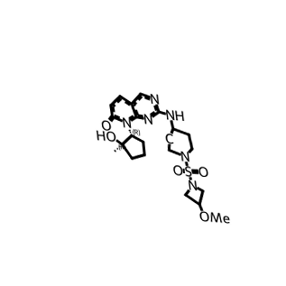 COC1CN(S(=O)(=O)N2CCC(Nc3ncc4ccc(=O)n([C@@H]5CCC[C@@]5(C)O)c4n3)CC2)C1